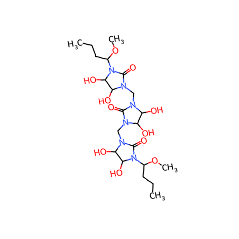 CCCC(OC)N1C(=O)N(CN2C(=O)N(CN3C(=O)N(C(CCC)OC)C(O)C3O)C(O)C2O)C(O)C1O